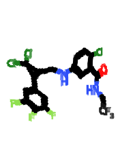 O=C(NCC(F)(F)F)c1cc(NCC2C(c3cc(F)c(F)c(F)c3)C2(Cl)Cl)ccc1Cl